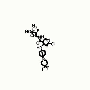 CC(C)(O)[C@H](F)CNC(=O)c1cnc(Cl)cc1NC12CCC(N3CCC(F)(F)CC3)(CC1)CC2